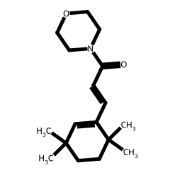 CC1(C)C=C(C=CC(=O)N2CCOCC2)C(C)(C)CC1